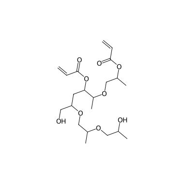 C=CC(=O)OC(C)COC(C)C(CC(CO)OCC(C)OCC(C)O)OC(=O)C=C